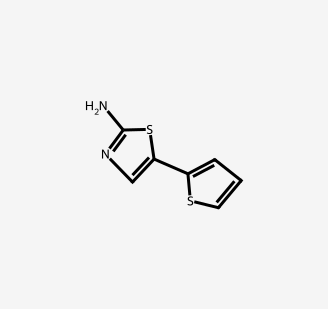 Nc1ncc(-c2cccs2)s1